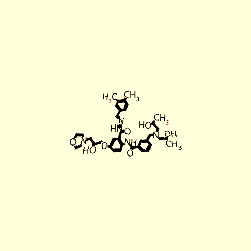 Cc1ccc(/C=N/NC(=O)c2cc(OCC(O)CN3CCOCC3)ccc2NC(=O)c2cccc(CN(CC(C)O)CC(C)O)c2)cc1C